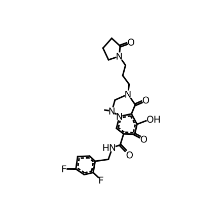 CN1CN(CCCN2CCCC2=O)C(=O)c2c(O)c(=O)c(C(=O)NCc3ccc(F)cc3F)cn21